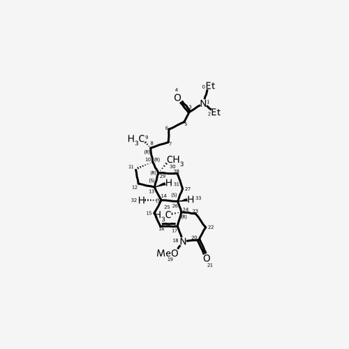 CCN(CC)C(=O)CCC[C@@H](C)[C@H]1CC[C@H]2[C@@H]3CC=C4N(OC)C(=O)CC[C@]4(C)[C@H]3CC[C@]12C